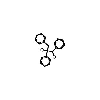 [O]C(c1ccccc1)C([O])(Cc1ccccc1)c1ccccc1